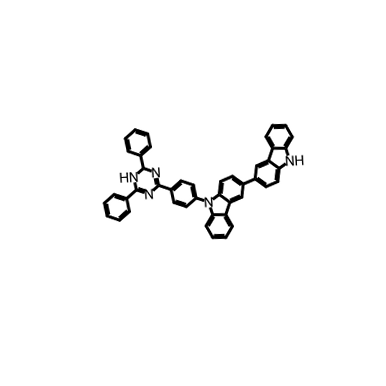 c1ccc(C2=NC(c3ccc(-n4c5ccccc5c5cc(-c6ccc7[nH]c8ccccc8c7c6)ccc54)cc3)=NC(c3ccccc3)N2)cc1